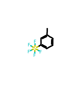 Cc1cccc(S(F)(F)(F)(F)F)c1